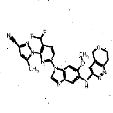 COc1cc2c(cc1Nc1cc3c(nn1)CCOC3)ncn2-c1ccc(C(F)F)c(-n2nc(C#N)cc2C)n1